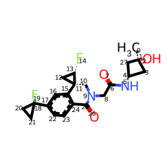 C[C@]1(O)C[C@H](NC(=O)CN2C[C@@]3(C[C@@H]3F)c3cc(C4(F)CC4)ccc3C2=O)C1